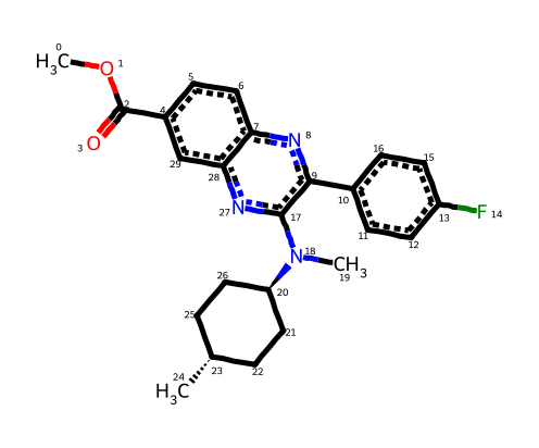 COC(=O)c1ccc2nc(-c3ccc(F)cc3)c(N(C)[C@H]3CC[C@H](C)CC3)nc2c1